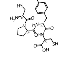 N[C@@H](CS)C(=O)N1CCC[C@H]1C(=O)N[C@@H](Cc1ccc(O)cc1)C(=O)N[C@@H](CS)C(=O)O